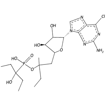 CCC(C)(CC1O[C@@H](n2cnc3c(Cl)nc(N)nc32)C(O)[C@@H]1O)OP(=O)(O)C(O)(CC)CC